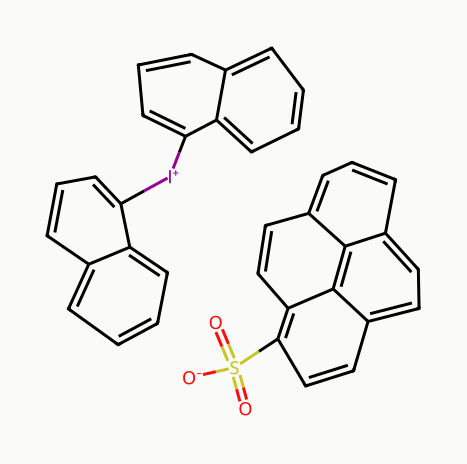 O=S(=O)([O-])c1ccc2ccc3cccc4ccc1c2c34.c1ccc2c([I+]c3cccc4ccccc34)cccc2c1